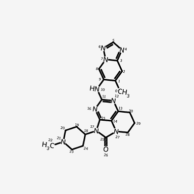 Cc1cc2ncnn2cc1Nc1nc2c3c(n1)n(C1CCN(C)CC1)c(=O)n3CCC2